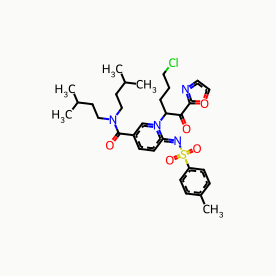 Cc1ccc(S(=O)(=O)/N=c2\ccc(C(=O)N(CCC(C)C)CCC(C)C)cn2C(CCCCl)C(=O)c2ncco2)cc1